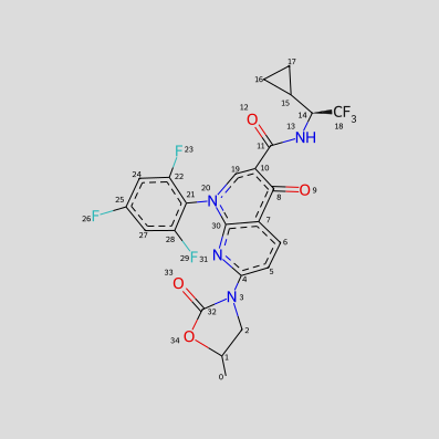 CC1CN(c2ccc3c(=O)c(C(=O)N[C@@H](C4CC4)C(F)(F)F)cn(-c4c(F)cc(F)cc4F)c3n2)C(=O)O1